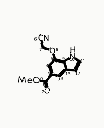 COC(=O)c1cc(OCC#N)c2[nH]ccc2c1